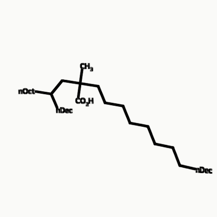 CCCCCCCCCCCCCCCCCCC(C)(CC(CCCCCCCC)CCCCCCCCCC)C(=O)O